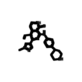 C=Cc1c(-c2cnn(C)c2)nc(Nc2ccc(C3CCNCC3)cc2)c2c(=O)[nH]ccc12